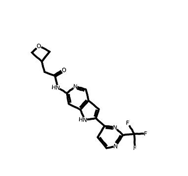 O=C(CC1COC1)Nc1cc2[nH]c(-c3ccnc(C(F)(F)F)n3)cc2cn1